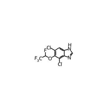 FC(Oc1c(Cl)cc2[nH]cnc2c1Cl)C(F)(F)F